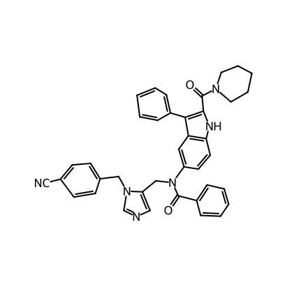 N#Cc1ccc(Cn2cncc2CN(C(=O)c2ccccc2)c2ccc3[nH]c(C(=O)N4CCCCC4)c(-c4ccccc4)c3c2)cc1